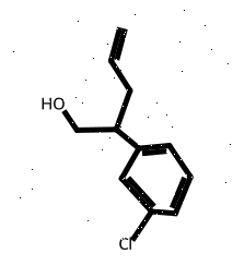 C=CCC(CO)c1cccc(Cl)c1